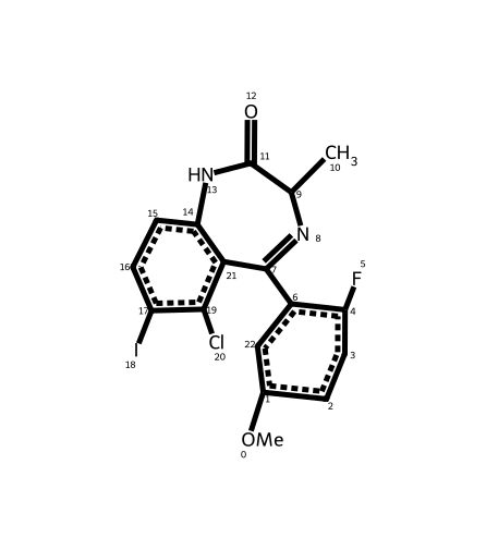 COc1ccc(F)c(C2=NC(C)C(=O)Nc3ccc(I)c(Cl)c32)c1